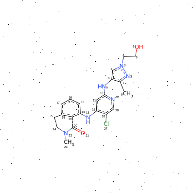 Cc1nn(CCO)cc1Nc1cc(Nc2cccc3c2C(=O)N(C)CC3)c(Cl)cn1